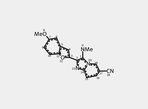 CNc1c(-c2cc3cc(OC)ccc3o2)nc2ccc(C#N)cn12